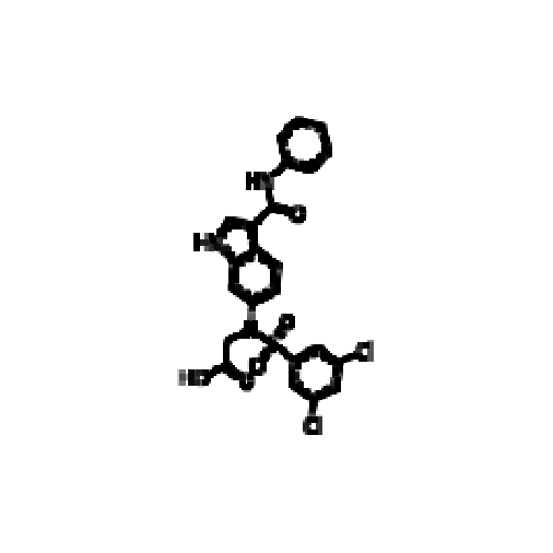 O=C(O)CN(c1ccc2c(C(=O)Nc3ccccc3)c[nH]c2c1)S(=O)(=O)c1cc(Cl)cc(Cl)c1